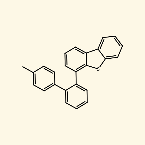 Cc1ccc(-c2ccccc2-c2cccc3c2sc2ccccc23)cc1